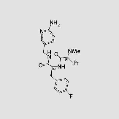 CN[C@@H](C(=O)N[C@@H](Cc1ccc(F)cc1)C(=O)NCc1ccc(N)nc1)C(C)C